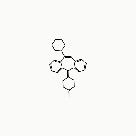 CN1CCC(=C2c3ccccc3C=C(N3CCCCC3)c3ccccc32)CC1